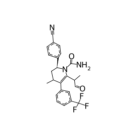 CC(C=O)C1=C(c2cccc(C(F)(F)F)c2)C(C)C[C@@H](c2ccc(C#N)cc2)N1C(N)=O